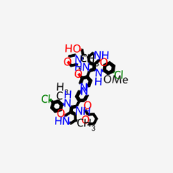 COc1c(Cl)cccc1Nc1c(-c2ccncc2OC[C@@H]2COCCN2C)[nH]c2c1C(=O)NC[C@H]2CCO.Cc1c(Cl)cccc1Nc1c(-c2ccncc2OCC2CCCCO2)[nH]c2c1C(=O)NCC2C